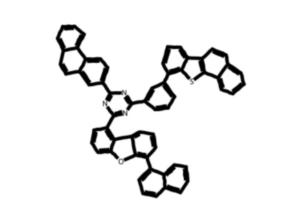 c1cc(-c2nc(-c3ccc4c(ccc5ccccc54)c3)nc(-c3cccc4oc5c(-c6cccc7ccccc67)cccc5c34)n2)cc(-c2cccc3c2sc2c4ccccc4ccc32)c1